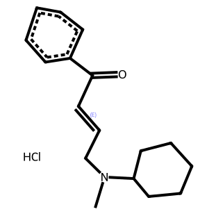 CN(C/C=C/C(=O)c1ccccc1)C1CCCCC1.Cl